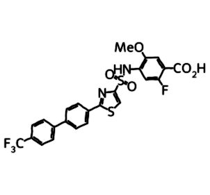 COc1cc(C(=O)O)c(F)cc1NS(=O)(=O)c1csc(-c2ccc(-c3ccc(C(F)(F)F)cc3)cc2)n1